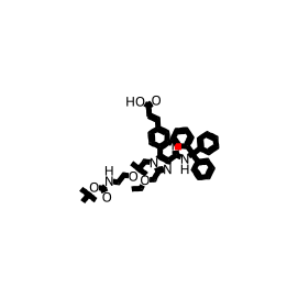 CCOCc1nc2c(NC(c3ccccc3)(c3ccccc3)c3ccccc3)nc3cc(/C=C/C(=O)O)ccc3c2n1CC(C)(C)OCCNC(=O)OC(C)(C)C